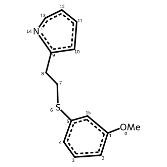 COc1cccc(SCCc2ccccn2)c1